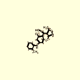 Cc1ccccc1Nc1ccc(/C(=N\O)c2c(C)noc2C)c(Cl)c1